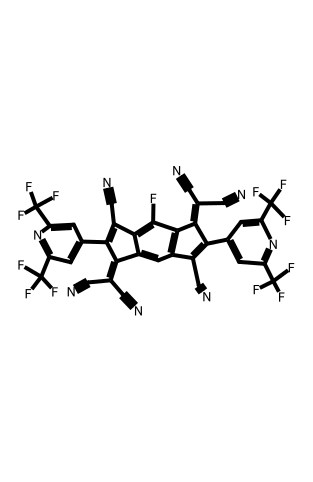 N#CC(C#N)=C1C(c2cc(C(F)(F)F)nc(C(F)(F)F)c2)=C(C#N)c2c1cc1c(c2F)C(=C(C#N)C#N)C(c2cc(C(F)(F)F)nc(C(F)(F)F)c2)=C1C#N